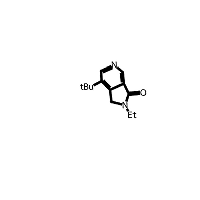 CCN1Cc2c(cncc2C(C)(C)C)C1=O